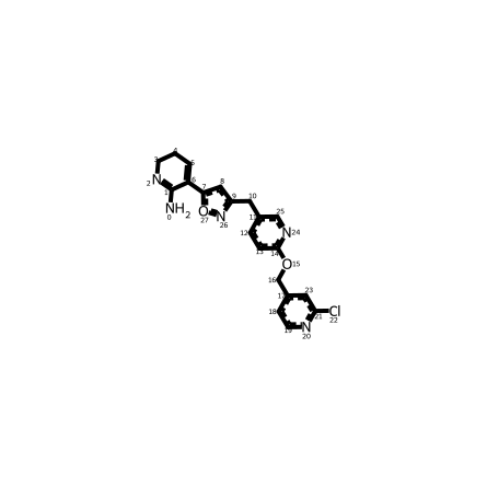 NC1=NCCC=C1c1cc(Cc2ccc(OCc3ccnc(Cl)c3)nc2)no1